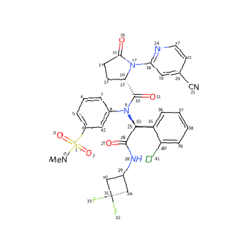 CNS(=O)(=O)c1cccc(N(C(=O)[C@@H]2CCC(=O)N2c2cc(C#N)ccn2)[C@H](C(=O)NC2CC(F)(F)C2)c2ccccc2Cl)c1